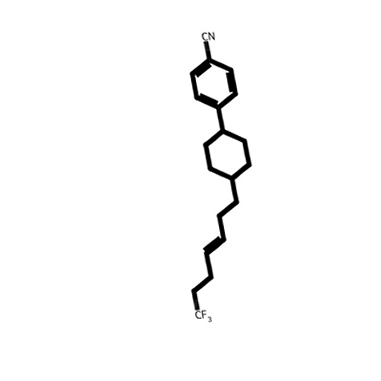 N#Cc1ccc(C2CCC(CCC=CCCC(F)(F)F)CC2)cc1